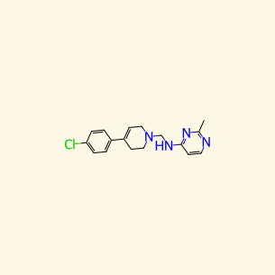 Cc1nccc(NCN2CC=C(c3ccc(Cl)cc3)CC2)n1